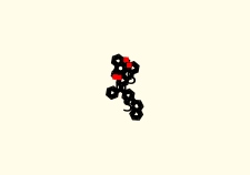 c1ccc(N(c2ccc3c(c2)Sc2ccccc2C32c3ccccc3-c3cccc4cccc2c34)c2ccc3c(c2)sc2c4ccccc4ccc32)cc1